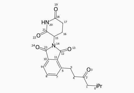 CC(C)CC(=O)CCc1cccc2c1C(=O)N(C1CCC(=O)NC1=O)C2=O